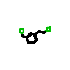 ClCCc1cccc(CCl)c1